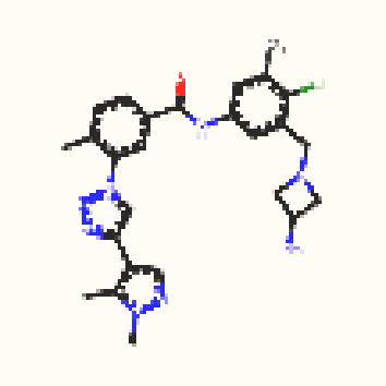 Cc1ccc(C(=O)Nc2cc(CN3CC(N)C3)c(Cl)c(C(F)(F)F)c2)cc1-n1cc(-c2cnn(C)c2C)nn1